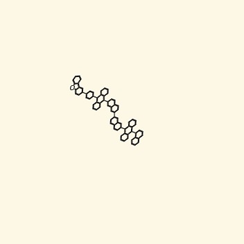 c1ccc2c(-c3c4ccccc4c(-c4ccc5ccc(-c6ccc7ccc(-c8c9ccccc9c(-c9ccc(-c%10ccc%11oc%12ccccc%12c%11c%10)cc9)c9ccccc89)cc7c6)cc5c4)c4ccccc34)cccc2c1